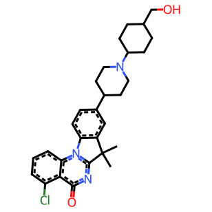 CC1(C)c2cc(C3CCN(C4CCC(CO)CC4)CC3)ccc2-n2c1nc(=O)c1c(Cl)cccc12